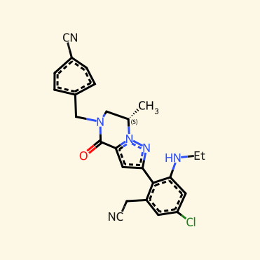 CCNc1cc(Cl)cc(CC#N)c1-c1cc2n(n1)[C@@H](C)CN(Cc1ccc(C#N)cc1)C2=O